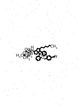 C=C(c1ccccc1OCc1ccc(C#N)cc1)C12CCC(NS(=O)(=O)NC(=O)OC(C)(C)C)C1CC(CCCCCC)=C2c1ccccc1